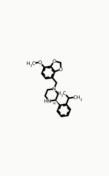 COc1ccc(CN2CCN[C@H](c3ccccc3C(C)C)C2)c2c1OCO2